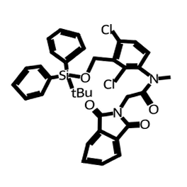 CN(C(=O)CN1C(=O)c2ccccc2C1=O)c1ccc(Cl)c(CO[Si](c2ccccc2)(c2ccccc2)C(C)(C)C)c1Cl